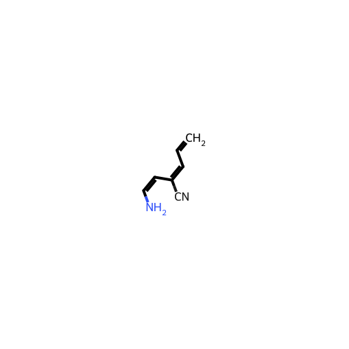 C=C/C=C(C#N)\C=C/N